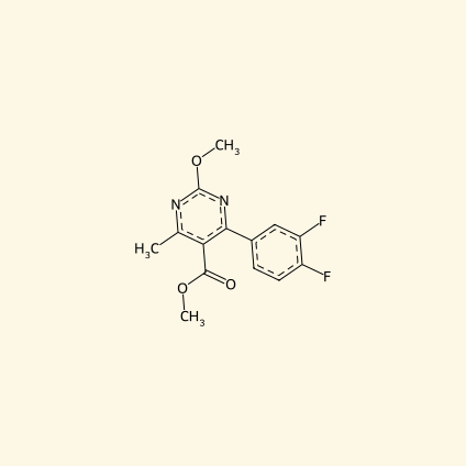 COC(=O)c1c(C)nc(OC)nc1-c1ccc(F)c(F)c1